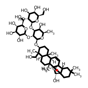 C[C@H]1O[C@@H](O[C@H]2CC[C@@]3(C)[C@@H](CC[C@]4(C)[C@@H]3C=C[C@]35OC[C@@]6(CCC(C)(C)C[C@H]63)[C@@H](O)C[C@]54C)[C@]2(C)CO)[C@H](O[C@@H]2O[C@H](CO)[C@@H](O)[C@H](O)[C@H]2O)[C@@H](O[C@@H]2O[C@H](CO)[C@@H](O)[C@H](O)[C@H]2O)[C@H]1O